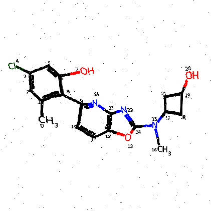 Cc1cc(Cl)cc(O)c1-c1ccc2oc(N(C)C3CC(O)C3)nc2n1